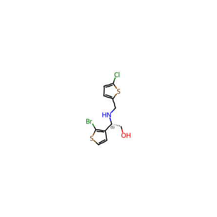 OC[C@@H](NCc1ccc(Cl)s1)c1ccsc1Br